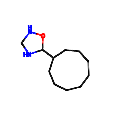 C1CCCCC(C2NCNO2)CCC1